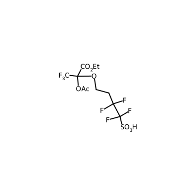 CCOC(=O)C(OCCC(F)(F)C(F)(F)S(=O)(=O)O)(OC(C)=O)C(F)(F)F